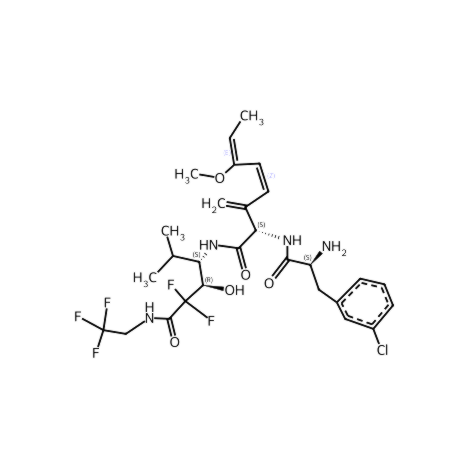 C=C(/C=C\C(=C/C)OC)[C@H](NC(=O)[C@@H](N)Cc1cccc(Cl)c1)C(=O)N[C@@H](C(C)C)[C@@H](O)C(F)(F)C(=O)NCC(F)(F)F